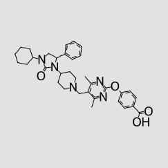 Cc1nc(Oc2ccc(C(=O)O)cc2)nc(C)c1CN1CCC(N2C(=O)N(C3CCCCC3)CC2c2ccccc2)CC1